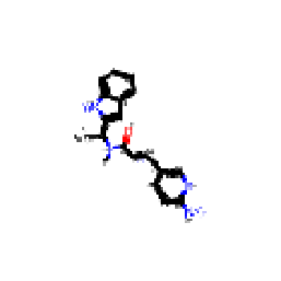 CCC(c1cc2ccccc2[nH]1)N(C)C(=O)/C=C/c1ccc(N)nc1